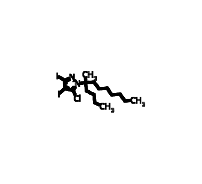 CCCCCCCC(C)(CCCC)n1nc(I)c(I)c1Cl